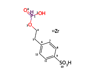 O=[PH](O)OCCc1ccc(S(=O)(=O)O)cc1.[Zr]